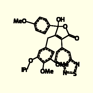 COc1ccc(C2(O)OC(=O)C(c3ccc4nsnc4c3)=C2Cc2cc(OC)c(OC)c(OC(C)C)c2)cc1